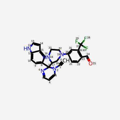 C#CN1C=CC=NC1(c1ccc2[nH]ccc2c1)C1CN(c2ccc(C=O)c(C(F)(F)F)c2)CCN1